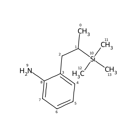 CC(Cc1ccccc1N)[Si](C)(C)C